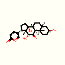 C[C@]12CC[C@H](O)C[C@H]1CC[C@@H]1[C@@H]2C(=O)[C@@H](O)[C@]2(C)[C@@H](c3ccc(=O)oc3)CC[C@]12O